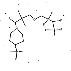 FC(N1CCC(C(F)(F)F)CC1)C(F)(F)COCC(F)(F)C(F)C(F)(F)F